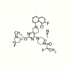 C=C(F)C(=O)N1CCN(c2nc(OC[C@@H]3C[C@@H](F)CN3C)nc3c2CCN(c2cccc4ccc(F)c(Cl)c24)C3)C[C@@H]1CC#N